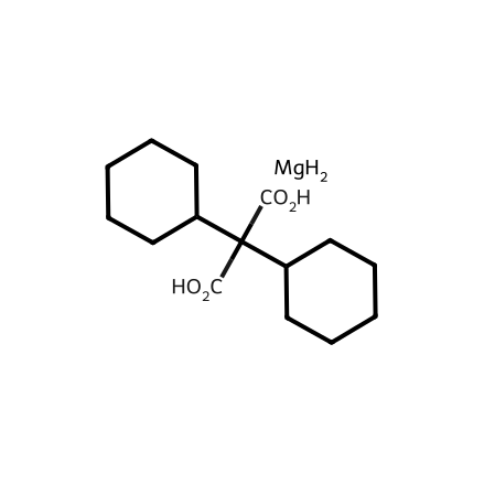 O=C(O)C(C(=O)O)(C1CCCCC1)C1CCCCC1.[MgH2]